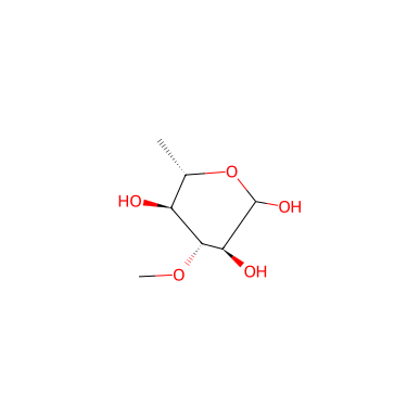 CO[C@@H]1[C@@H](O)[C@H](C)OC(O)[C@H]1O